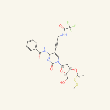 CSS[C@@H](C)O[C@@H]1C[C@H](n2cc(C#CCNC(=O)C(F)(F)F)c(NC(=O)c3ccccc3)nc2=O)O[C@@H]1CO